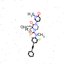 CN(C(=O)N1CCN(c2ccc(=O)n(C)c2)C(=O)C1(C)CC=O)c1c(F)cc(C#Cc2ccccc2)cc1F